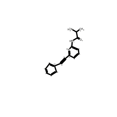 CC(N)C(=O)Nc1cccc(C#Cc2ccccc2)n1